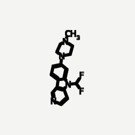 CN1CCN(c2ccc3c4cnccc4n(C(F)F)c3c2)CC1